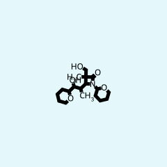 CC(C(O)C1CCCCO1)C1N(C2CCCCO2)C(=O)C1(C)CO